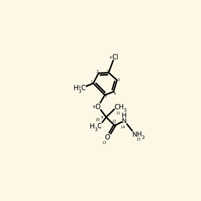 Cc1cc(Cl)ccc1OC(C)(C)C(=O)NN